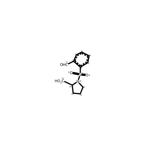 O=Cc1ccccc1S(=O)(=O)N1CCCC1C(=O)O